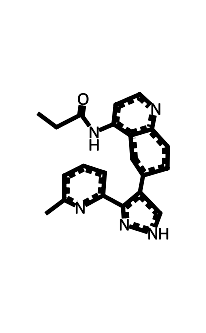 CCC(=O)Nc1ccnc2ccc(-c3c[nH]nc3-c3cccc(C)n3)cc12